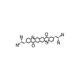 Cn1c2ccc(C=C(C#N)C#N)cc2c(=O)c2cc3cc4c(cc3cc21)c(=O)c1cc(C=C(C#N)C#N)ccc1n4C